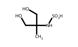 CC(CO)(CO)NS(=O)(=O)O